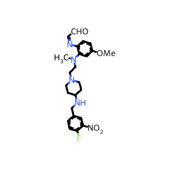 COc1ccc(/N=C\C=O)c(N(C)CCN2CCC(NCc3ccc(F)c([N+](=O)[O-])c3)CC2)c1